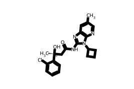 Cc1cnc2c(c1)nc(NC(=O)C[C@](C)(O)c1ccccc1Cl)n2C1CCC1